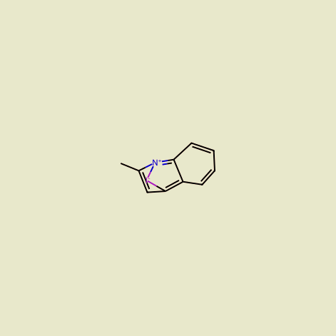 CC1=CC2=c3ccccc3=[N+]1[I-]2